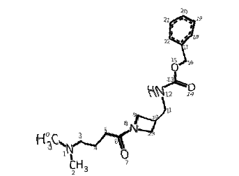 CN(C)CCCC(=O)N1CC(CNC(=O)OCc2ccccc2)C1